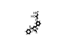 CNCC(O)COc1cccc(-c2cc(N(C)C3CCCCC3)nc(C)n2)c1